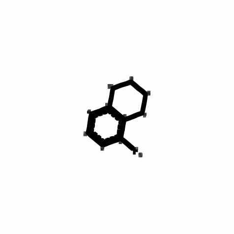 Fc1[c]ccc2c1CCCC2